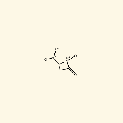 O=C1CC([S+]([O-])Cl)[NH+]1[O-]